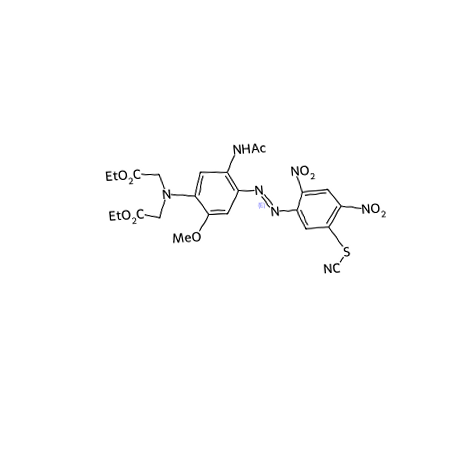 CCOC(=O)CN(CC(=O)OCC)c1cc(NC(C)=O)c(/N=N/c2cc(SC#N)c([N+](=O)[O-])cc2[N+](=O)[O-])cc1OC